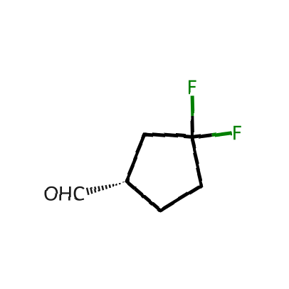 O=C[C@H]1CCC(F)(F)C1